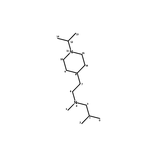 CC(C)CN(C)CCC1CCN(C(C)C)CC1